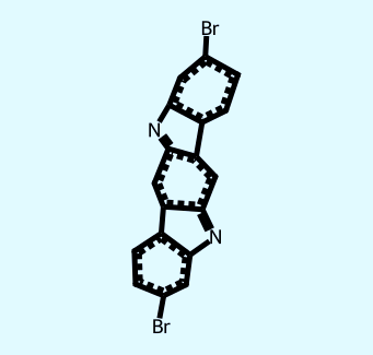 Brc1ccc2c(c1)N=c1cc3c(cc1-2)=Nc1cc(Br)ccc1-3